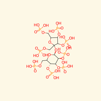 O=P(O)(O)OCC1OC(COP(=O)(O)O)(O[C@@H]2OC(COP(=O)(O)O)[C@@H](OP(=O)(O)O)C(OP(=O)(O)O)[C@@H]2OP(=O)(O)O)C(OP(=O)(O)O)C1OP(=O)(O)O